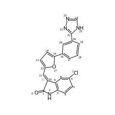 O=C1Nc2ccc(Cl)cc2/C1=C\c1ccc(-c2cccc(-c3nnc[nH]3)c2)o1